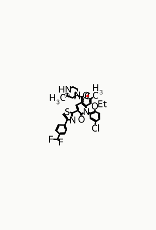 CCOc1ccc(Cl)cc1-n1c(C=C(C)C)c(C(=O)N2CCN[C@H](C)C2)cc(-c2nc(-c3ccc(C(F)F)cc3)cs2)c1=O